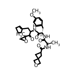 COc1ccc(C[C@H](NC(=O)[C@@H](C)NC(=O)C2CC3(COC3)C2)C(=O)NC(CC2=CCCC2)C(=O)[C@@]2(C)CO2)cc1